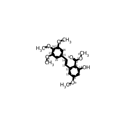 COC(=O)c1c(O)cc(OC)cc1C=Cc1cc(OC)c(OC)c(OC)c1